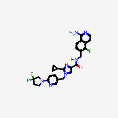 Nc1nccc2c(F)c(CNC(=O)c3cn(Cc4ccc(N5CCC(F)(F)C5)nc4)c(C4CC4)n3)ccc12